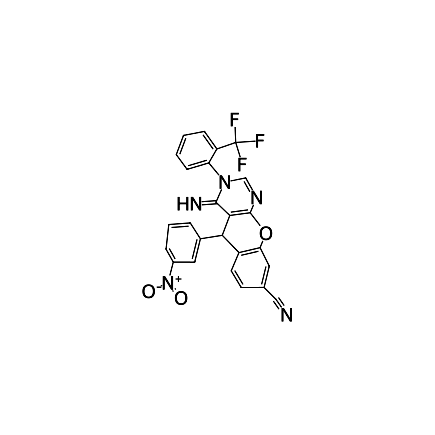 N#Cc1ccc2c(c1)Oc1ncn(-c3ccccc3C(F)(F)F)c(=N)c1C2c1cccc([N+](=O)[O-])c1